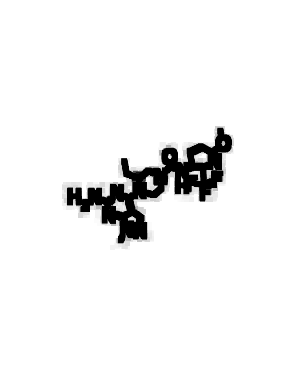 CC[C@H]1CN(C(=O)Nc2ccc(OC)nc2C(F)(F)F)CCN1c1nc(N)nc2c1cnn2C